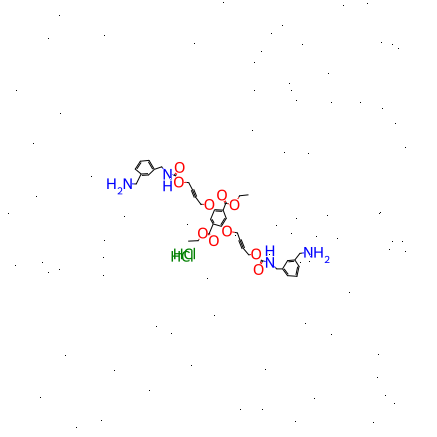 CCOC(=O)c1cc(OCC#CCOC(=O)NCc2cccc(CN)c2)c(C(=O)OCC)cc1OCC#CCOC(=O)NCc1cccc(CN)c1.Cl.Cl